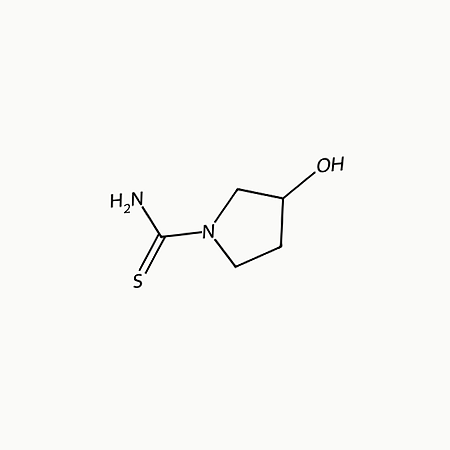 NC(=S)N1CCC(O)C1